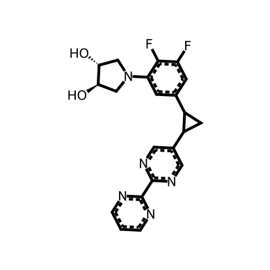 O[C@@H]1CN(c2cc(C3CC3c3cnc(-c4ncccn4)nc3)cc(F)c2F)C[C@H]1O